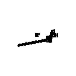 CCCCCCCCCCCCCCCCC=COP(=O)([O-])OCC(O)CCl.[K+]